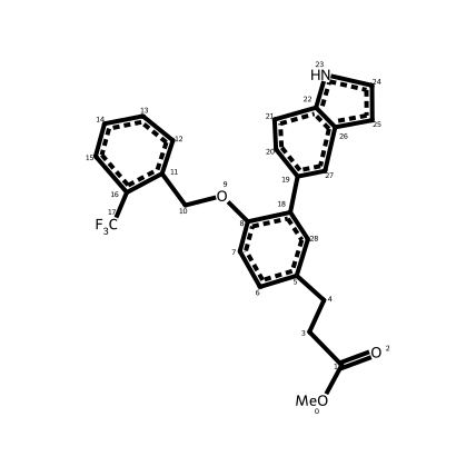 COC(=O)CCc1ccc(OCc2ccccc2C(F)(F)F)c(-c2ccc3[nH]ccc3c2)c1